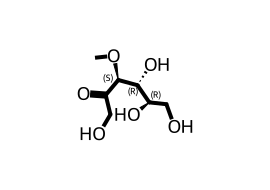 CO[C@H](C(=O)CO)[C@H](O)[C@H](O)CO